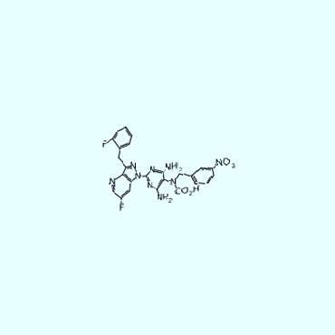 Nc1nc(-n2nc(Cc3ccccc3F)c3ncc(F)cc32)nc(N)c1N(Cc1cccc([N+](=O)[O-])c1)C(=O)O